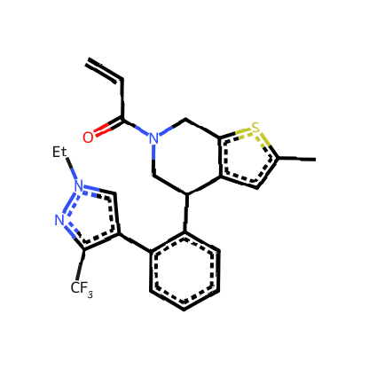 C=CC(=O)N1Cc2sc(C)cc2C(c2ccccc2-c2cn(CC)nc2C(F)(F)F)C1